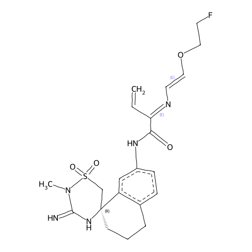 C=C/C(=N\C=C\OCCF)C(=O)Nc1ccc2c(c1)[C@]1(CCC2)CS(=O)(=O)N(C)C(=N)N1